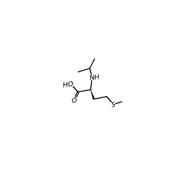 CSCC[C@H](NC(C)C)C(=O)O